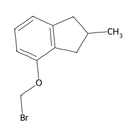 CC1Cc2cccc(OCBr)c2C1